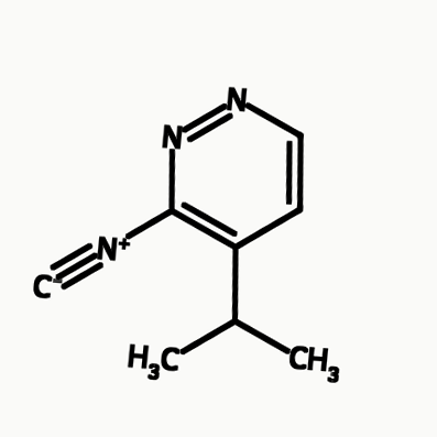 [C-]#[N+]c1nnccc1C(C)C